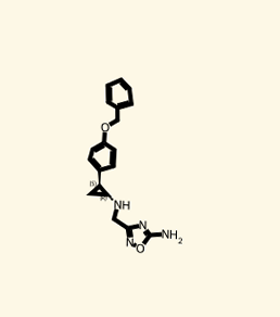 Nc1nc(CN[C@@H]2C[C@H]2c2ccc(OCc3ccccc3)cc2)no1